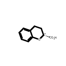 O=C(O)[C@H]1CCc2ccccc2O1